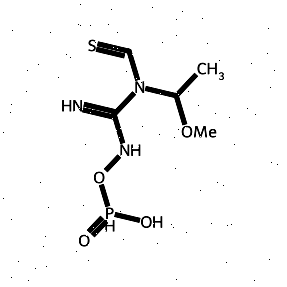 COC(C)N(C=S)C(=N)NO[PH](=O)O